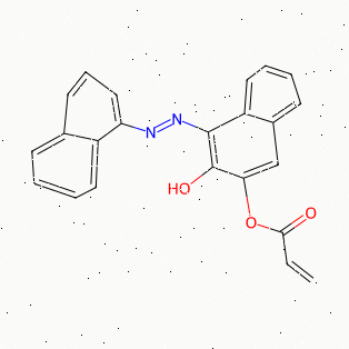 C=CC(=O)Oc1cc2ccccc2c(N=Nc2cccc3ccccc23)c1O